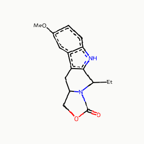 CCC1c2[nH]c3ccc(OC)cc3c2CC2COC(=O)N21